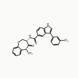 CN1C(=O)[C@@H](NC(=O)c2ccc3[nH]cc(-c4cccc(C(F)(F)F)c4)c3c2)COc2ccccc21